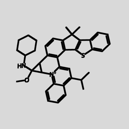 COC1(NC2CCCCC2)C2c3ccc4c(c3-c3cc(C(C)C)c5ccccc5[n+]3C21)-c1sc2ccccc2c1C4(C)C